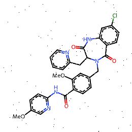 COc1ccc(NC(=O)c2ccc(CN3C(=O)c4ccc(Cl)cc4NC(=O)C3Cc3ccccn3)cc2OC)nc1